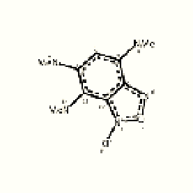 CNc1cc(NC)c2no[n+]([O-])c2c1NC